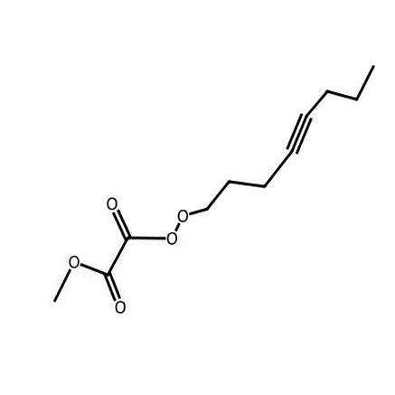 CCCC#CCCCOOC(=O)C(=O)OC